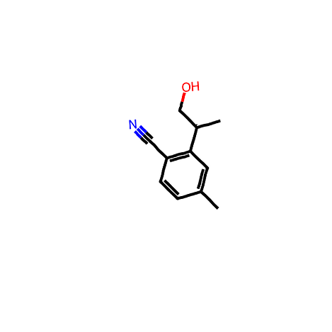 C[C](CO)c1cc(C)ccc1C#N